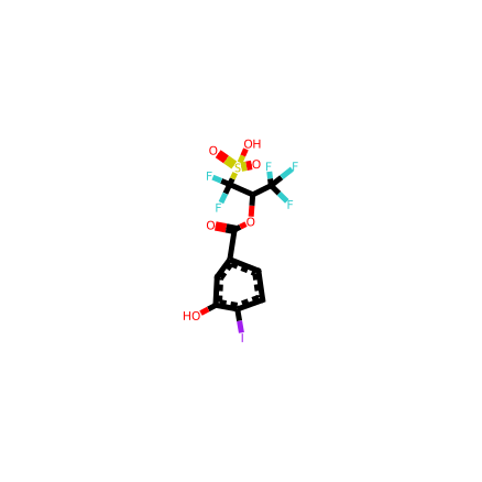 O=C(OC(C(F)(F)F)C(F)(F)S(=O)(=O)O)c1ccc(I)c(O)c1